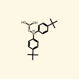 CC(C)(C)c1cc[c]([SnH]([O]B(O)O)[c]2ccc(C(C)(C)C)cc2)cc1